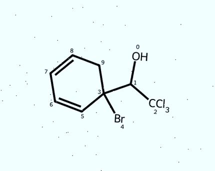 OC(C(Cl)(Cl)Cl)C1(Br)C=CC=CC1